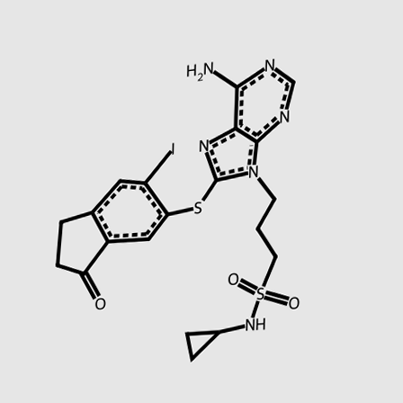 Nc1ncnc2c1nc(Sc1cc3c(cc1I)CCC3=O)n2CCCS(=O)(=O)NC1CC1